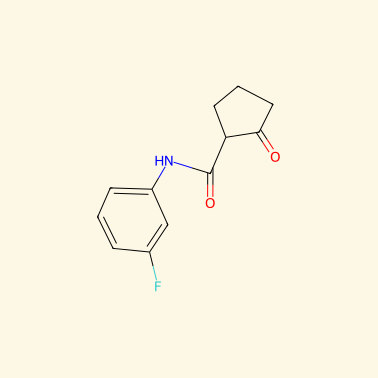 O=C1CCCC1C(=O)Nc1cccc(F)c1